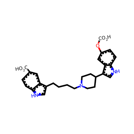 O=C(O)Oc1ccc2[nH]cc(C3CCN(CCCCc4c[nH]c5ccc(C(=O)O)cc45)CC3)c2c1